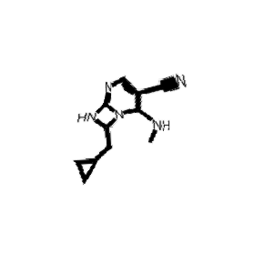 CNC1C(C#N)=CN=C2N[C](CC3CC3)N21